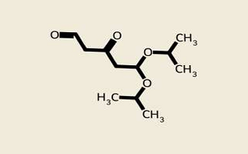 CC(C)OC(CC(=O)CC=O)OC(C)C